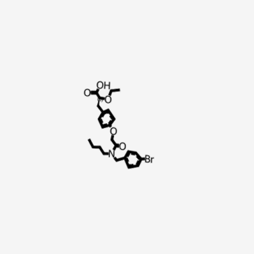 CCCCN(Cc1ccc(Br)cc1)C(=O)COc1ccc(C[C@H](OCC)C(=O)O)cc1